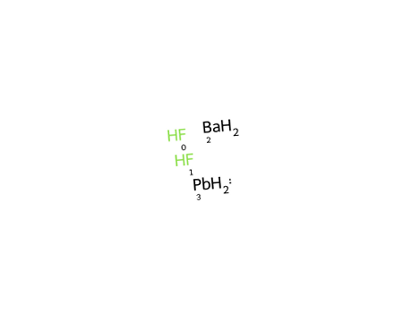 F.F.[BaH2].[PbH2]